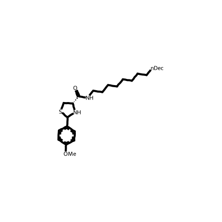 CCCCCCCCCCCCCCCCCCNC(=O)[C@H]1CSC(c2ccc(OC)cc2)N1